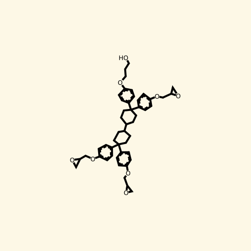 OCCCOc1ccc(C2(c3ccc(OCC4CO4)cc3)CCC(C3CCC(c4ccc(OCC5CO5)cc4)(c4ccc(OCC5CO5)cc4)CC3)CC2)cc1